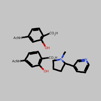 CC(=O)Nc1ccc(C(=O)O)c(O)c1.CC(=O)Nc1ccc(C(=O)O)c(O)c1.CN1CCCC1c1cccnc1